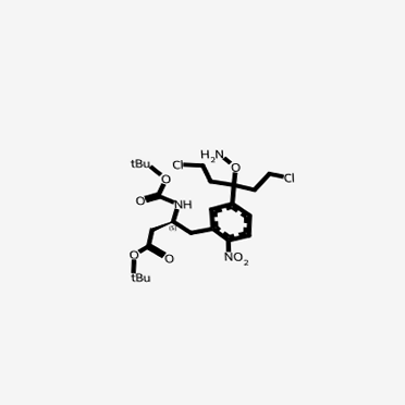 CC(C)(C)OC(=O)C[C@H](Cc1cc(C(CCCl)(CCCl)ON)ccc1[N+](=O)[O-])NC(=O)OC(C)(C)C